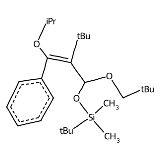 CC(C)OC(=C(C(OCC(C)(C)C)O[Si](C)(C)C(C)(C)C)C(C)(C)C)c1ccccc1